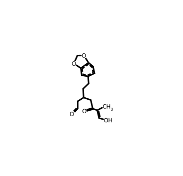 C/C(=C\O)C(=O)CC(CC=O)CCc1ccc2c(c1)OCO2